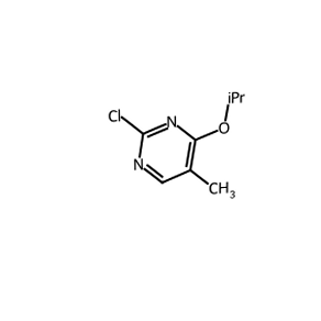 Cc1cnc(Cl)nc1OC(C)C